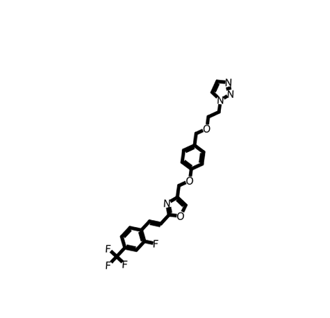 Fc1cc(C(F)(F)F)ccc1/C=C/c1nc(COc2ccc(COCCn3ccnn3)cc2)co1